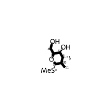 CS[C@@H]1OC(CO)[C@@H](O)[C@H](C)C1C